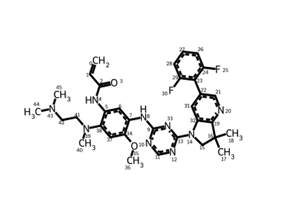 C=CC(=O)Nc1cc(Nc2ncnc(N3CC(C)(C)c4ncc(-c5c(F)cccc5F)cc43)n2)c(OC)cc1N(C)CCN(C)C